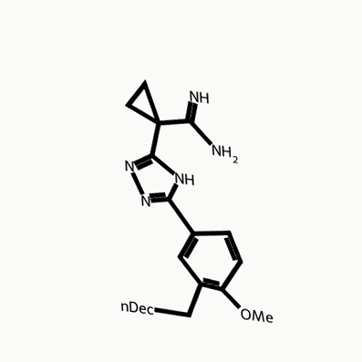 CCCCCCCCCCCc1cc(-c2nnc(C3(C(=N)N)CC3)[nH]2)ccc1OC